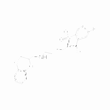 O=C1c2cc(F)ccc2S(=O)(=O)N1CCCCNCC1COc2ccccc2O1